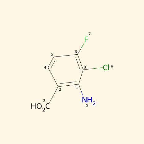 Nc1c(C(=O)O)ccc(F)c1Cl